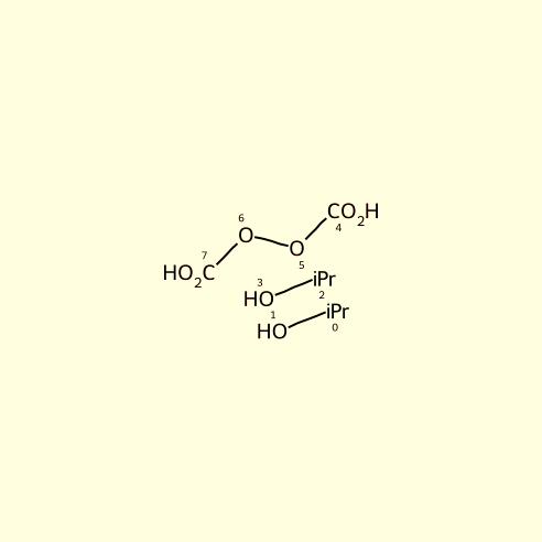 CC(C)O.CC(C)O.O=C(O)OOC(=O)O